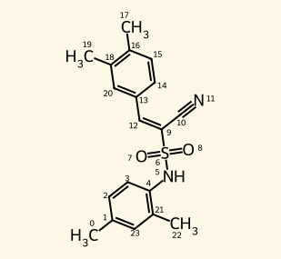 Cc1ccc(NS(=O)(=O)C(C#N)=Cc2ccc(C)c(C)c2)c(C)c1